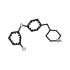 Clc1cccc(Oc2ccc(CC3CCNCC3)cc2)c1